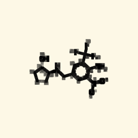 Nc1c([N+](=O)[O-])cc(CN[C@H]2CCC[C@@H]2O)cc1C(F)(F)F